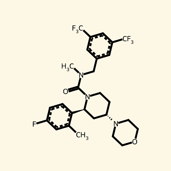 Cc1cc(F)ccc1[C@@H]1C[C@@H](N2CCOCC2)CCN1C(=O)N(C)Cc1cc(C(F)(F)F)cc(C(F)(F)F)c1